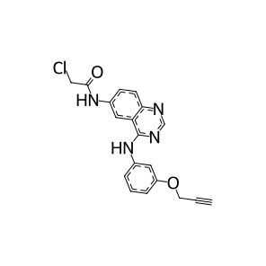 C#CCOc1cccc(Nc2ncnc3ccc(NC(=O)CCl)cc23)c1